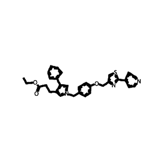 CCOC(=O)CCc1cn(Cc2ccc(OCc3csc(-c4ccncc4)n3)cc2)cc1-c1ccccc1